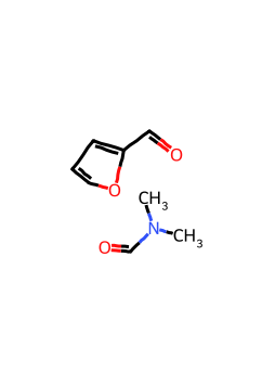 CN(C)C=O.O=Cc1ccco1